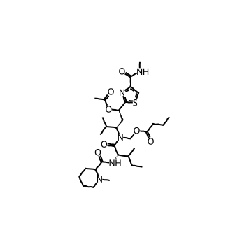 CCCC(=O)OCN(C(=O)[C@@H](NC(=O)C1CCCCN1C)C(C)CC)[C@H](C[C@@H](OC(C)=O)c1nc(C(=O)NC)cs1)C(C)C